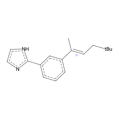 C/C(=C\CC(C)(C)C)c1cccc(-c2ncc[nH]2)c1